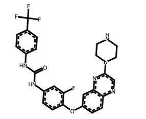 O=C(Nc1ccc(C(F)(F)F)cc1)Nc1ccc(Oc2ccc3ncc(N4CCNCC4)nc3c2)c(F)c1